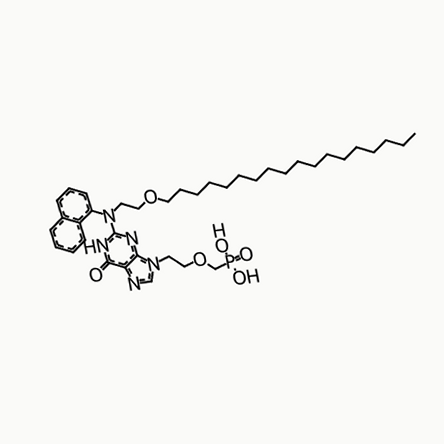 CCCCCCCCCCCCCCCCCCOCCN(c1nc2c(ncn2CCOCP(=O)(O)O)c(=O)[nH]1)c1cccc2ccccc12